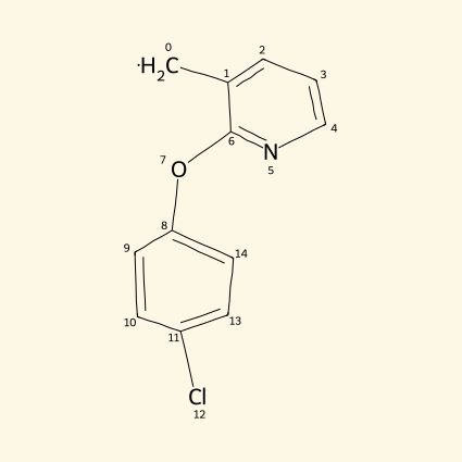 [CH2]c1cccnc1Oc1ccc(Cl)cc1